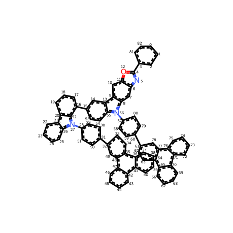 c1ccc(-c2nc3cc4c(cc3o2)c2cc(-c3cccc5c6ccccc6n(-c6ccc(-c7ccc8c9ccccc9c9ccccc9c8c7)cc6)c35)ccc2n4-c2ccc(-c3ccc4c5ccccc5c5ccccc5c4c3)cc2)cc1